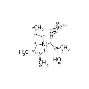 C=CC[N+](CC=C)(CC=C)CC=C.[Ge+4].[O-2].[O-2].[OH-]